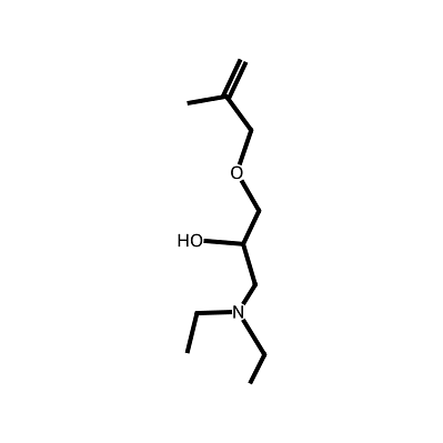 C=C(C)COCC(O)CN(CC)CC